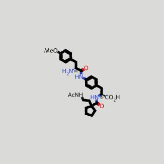 COc1ccc(C[C@@H](N)C(=O)Nc2ccc(C[C@H](NC(=O)C3(CCNC(C)=O)CCCC3)C(=O)O)cc2)cc1